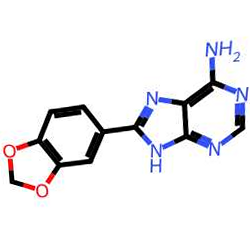 Nc1ncnc2[nH]c(-c3ccc4c(c3)OCO4)nc12